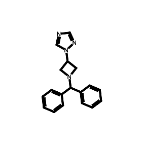 c1ccc(C(c2ccccc2)N2CC(n3cncn3)C2)cc1